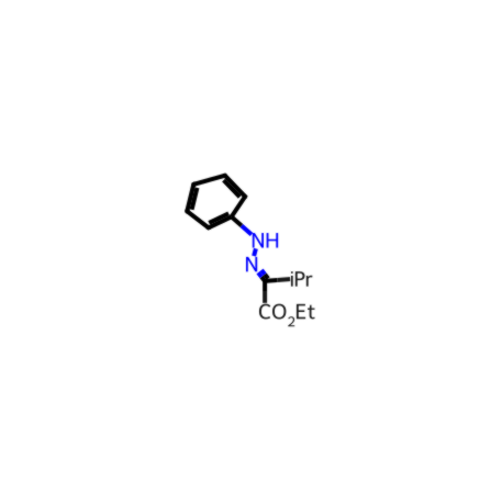 CCOC(=O)C(=NNc1ccccc1)C(C)C